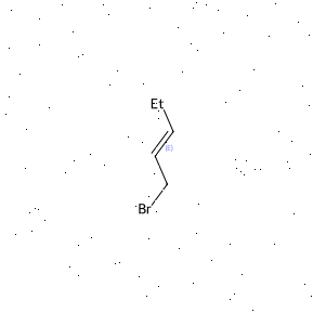 CC/C=C/CBr